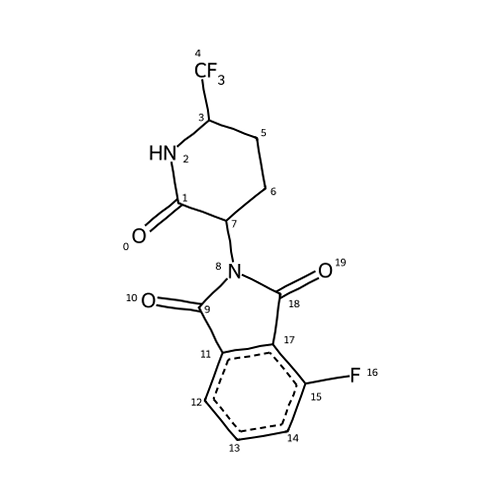 O=C1NC(C(F)(F)F)CCC1N1C(=O)c2cccc(F)c2C1=O